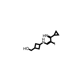 N=C(/C(I)=C\NC1CC(CO)C1)C1CC1